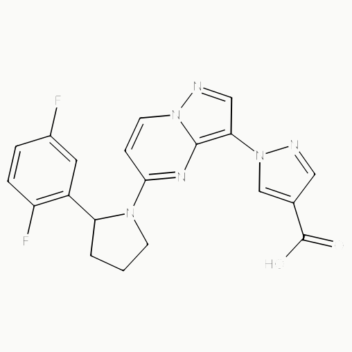 O=C(O)c1cnn(-c2cnn3ccc(N4CCCC4c4cc(F)ccc4F)nc23)c1